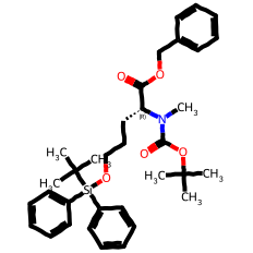 CN(C(=O)OC(C)(C)C)[C@H](CCCO[Si](c1ccccc1)(c1ccccc1)C(C)(C)C)C(=O)OCc1ccccc1